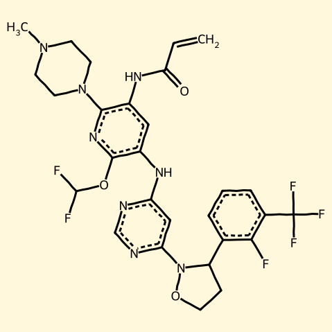 C=CC(=O)Nc1cc(Nc2cc(N3OCCC3c3cccc(C(F)(F)F)c3F)ncn2)c(OC(F)F)nc1N1CCN(C)CC1